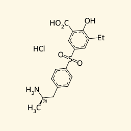 CCc1cc(S(=O)(=O)c2ccc(C[C@@H](C)N)cc2)cc(C(=O)O)c1O.Cl